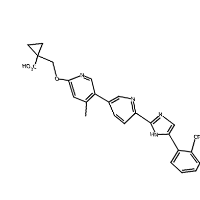 Cc1cc(OCC2(C(=O)O)CC2)ncc1-c1ccc(-c2ncc(-c3ccccc3C(F)(F)F)[nH]2)nc1